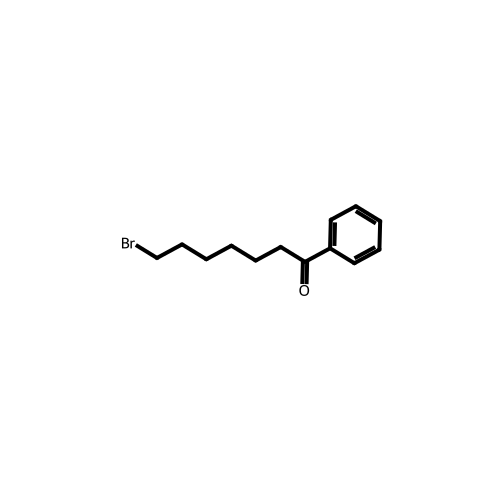 O=C(CCCCCCBr)c1ccccc1